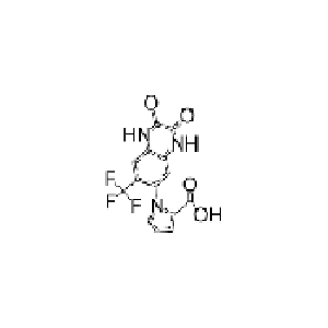 O=C(O)c1cccn1-c1cc2[nH]c(=O)c(=O)[nH]c2cc1C(F)(F)F